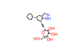 OC[C@H]1O[C@H](C#Cc2cc(-c3ccccc3)cc3cn[nH]c23)[C@@H](O)[C@@H](O)[C@@H]1O